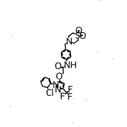 O=C(COc1cc(C(F)(F)F)nn1C1=CC=CCC1Cl)Nc1ccc(CN2CCS(=O)(=O)CC2)cc1